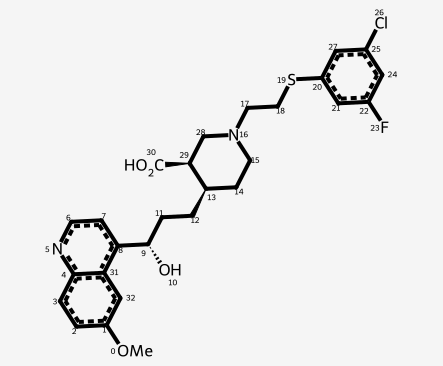 COc1ccc2nccc([C@@H](O)CC[C@@H]3CCN(CCSc4cc(F)cc(Cl)c4)C[C@@H]3C(=O)O)c2c1